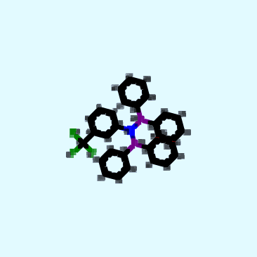 FC(F)(F)c1cccc(N(P(c2ccccc2)c2ccccc2)P(c2ccccc2)c2ccccc2)c1